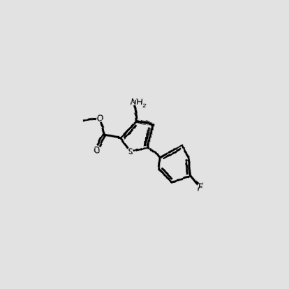 COC(=O)c1sc(-c2ccc(F)cc2)cc1N